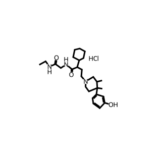 CCNC(=O)CNC(=O)C(CCN1CCC(C)(c2cccc(O)c2)C(C)C1)C1CCCCC1.Cl